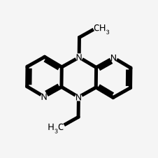 CCN1c2cccnc2N(CC)c2cccnc21